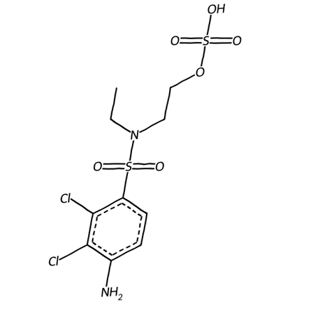 CCN(CCOS(=O)(=O)O)S(=O)(=O)c1ccc(N)c(Cl)c1Cl